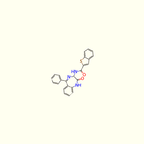 O=C(NC1N=C(c2ccccc2)c2ccccc2NC1=O)c1cc2ccccc2s1